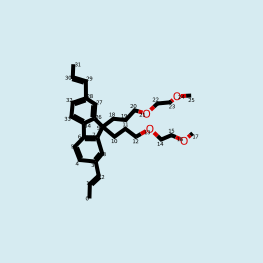 C/C=C/c1ccc2c(c1)C(CCCOCCOC)(CCCOCCOC)c1cc(/C=C/C)ccc1-2